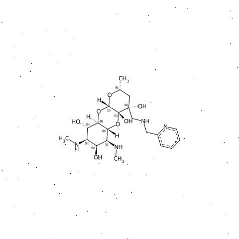 CN[C@@H]1[C@H](O)[C@H](NC)[C@H]2O[C@]3(O)[C@H](O[C@@H]2[C@H]1O)O[C@H](C)C[C@@]3(O)CNCc1ccccn1